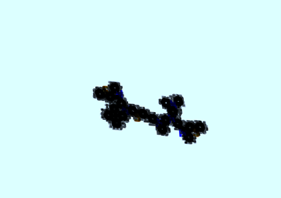 c1ccc(-n2c3ccccc3c3cc(N(c4ccc(-c5nc6ccccc6c6c5ccc5c7ccccc7sc56)cc4)c4ccc5c(c4)c4ccccc4n5-c4ccc(-c5ccc6c(c5)sc5cc(N(c7ccc(-c8nc9ccccc9c9c8ccc8c%10ccccc%10sc89)cc7)c7ccc8c(c7)C(c7ccccc7)(c7ccccc7)c7ccccc7-8)ccc56)cc4)ccc32)cc1